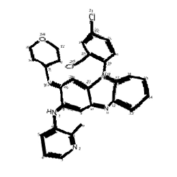 Cc1ncccc1Nc1cc2nc3ccccc3n(-c3ccc(Cl)cc3Cl)c-2c/c1=N\C1CCOCC1